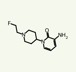 Nc1cccn(C2CCN(CCF)CC2)c1=O